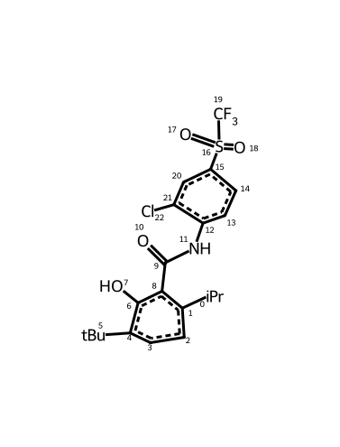 CC(C)c1ccc(C(C)(C)C)c(O)c1C(=O)Nc1ccc(S(=O)(=O)C(F)(F)F)cc1Cl